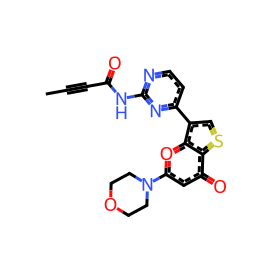 CC#CC(=O)Nc1nccc(-c2csc3c(=O)cc(N4CCOCC4)oc23)n1